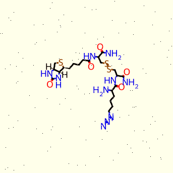 [N-]=[N+]=NCCCCC(N)C(=O)NC(CSSCC(NC(=O)CCCC[C@@H]1SC[C@@H]2NC(=O)N[C@@H]21)C(N)=O)C(N)=O